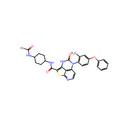 CCC(=O)NC1CCC(NC(=O)c2sc3nccc4c3c2NC(=O)N4c2ccc(Oc3ccccc3)cc2C)CC1